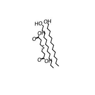 CCCCCCCCCCCCCO.CCCCCCCCCCCCCO.O=C(O)CCSCCC(=O)O